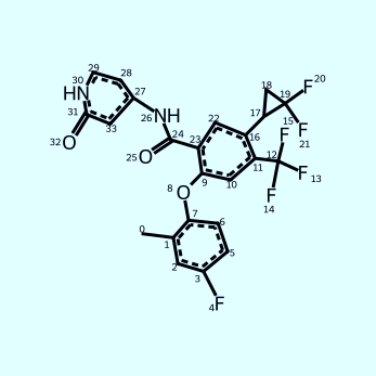 Cc1cc(F)ccc1Oc1cc(C(F)(F)F)c(C2CC2(F)F)cc1C(=O)Nc1cc[nH]c(=O)c1